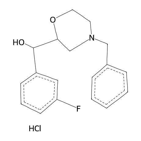 Cl.OC(c1cccc(F)c1)C1CN(Cc2ccccc2)CCO1